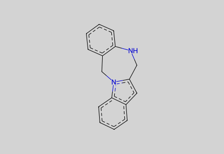 c1ccc2c(c1)Cn1c(cc3ccccc31)CN2